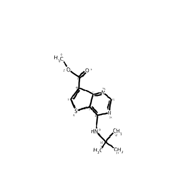 COC(=O)c1csc2c(NC(C)(C)C)ncnc12